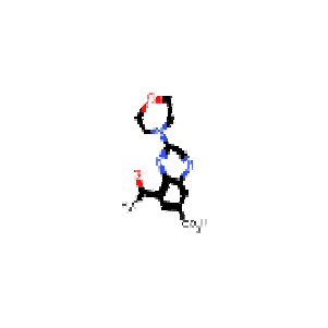 CC(O)c1cc(C(=O)O)cc2ncc(N3CCOCC3)nc12